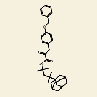 CC(C)(CC(C)(C)C12CC3CC(CC(C3)C1)C2)NC(=O)C(=O)Cc1ccc(OCc2ccccc2)cc1